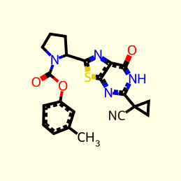 Cc1cccc(OC(=O)N2CCCC2c2nc3c(=O)[nH]c(C4(C#N)CC4)nc3s2)c1